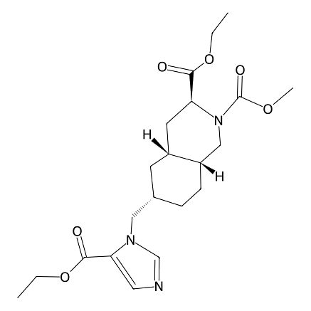 CCOC(=O)c1cncn1C[C@H]1CC[C@H]2CN(C(=O)OC)[C@H](C(=O)OCC)C[C@H]2C1